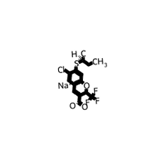 CCC(C)Sc1cc2c(cc1Cl)C=C(C(=O)[O-])C(C(F)(F)F)O2.[Na+]